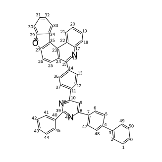 c1ccc(-c2ccc(-c3cc(-c4ccc(-c5nc6ccccc6c6c5ccc5oc7ccccc7c56)cc4)nc(-c4ccccc4)n3)cc2)cc1